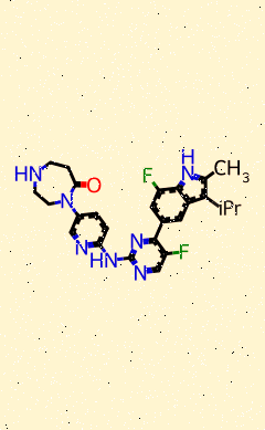 Cc1[nH]c2c(F)cc(-c3nc(Nc4ccc(N5CCNCCC5=O)cn4)ncc3F)cc2c1C(C)C